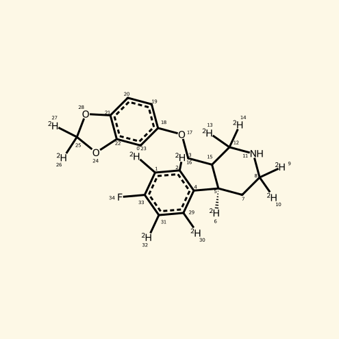 [2H]c1c([2H])c([C@]2([2H])CC([2H])([2H])NC([2H])([2H])C2COc2ccc3c(c2)OC([2H])([2H])O3)c([2H])c([2H])c1F